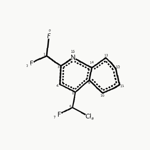 FC(F)c1cc(C(F)Cl)c2ccccc2n1